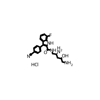 Cl.N#Cc1ccc(-c2c(C(=O)NC[C@@H](N)CC(O)CN)[nH]c3c(F)cccc23)cc1